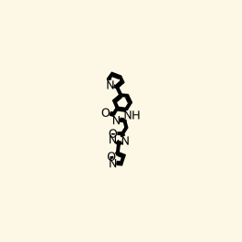 O=c1nc(Cc2nc(-c3ccno3)no2)[nH]c2ccc(-c3ccccn3)cc12